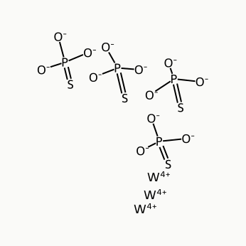 [O-]P([O-])([O-])=S.[O-]P([O-])([O-])=S.[O-]P([O-])([O-])=S.[O-]P([O-])([O-])=S.[W+4].[W+4].[W+4]